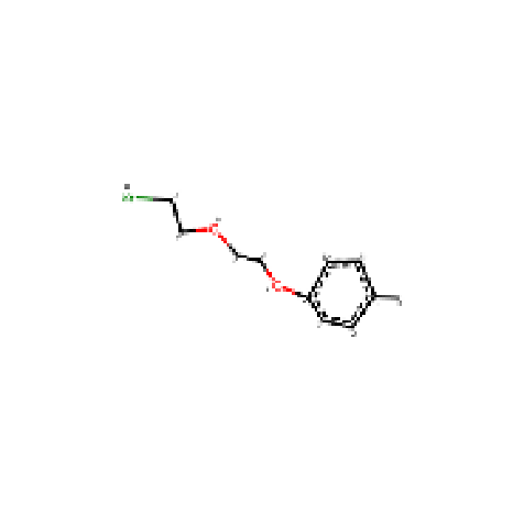 Cc1ccc(OCCOCCBr)cc1